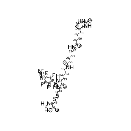 [N-]=[N+]=Nc1c(F)c(F)c(C(=O)NC(CCCCNC(=O)CCCCCNC(=O)CCCCC2SCC3NC(=O)NC32)C(=O)NCCSSCC(N)C(=O)O)c(F)c1F